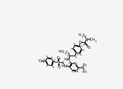 CCN(CC)c1ncc(NCS(=O)(=O)c2ccc(Cl)cc2)c(NC(Cc2ccc(OC(=O)N(C)C)cc2)C(=O)O)n1